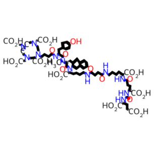 CN(C(=O)/C(Cc1ccc(O)cc1)=N/C(=O)CCC(C(=O)O)N1CCN(CC(=O)O)CCN(CC(=O)O)CCN(CC(=O)O)CC1)[C@H](Cc1ccc2ccccc2c1)C(=O)/N=C(/CCCCNC(=O)CCC(=O)NCCCC[C@H](NC(=O)CC[C@H](NC(=O)N[C@@H](CCC(=O)O)C(=O)O)C(=O)O)C(=O)O)C(=O)O